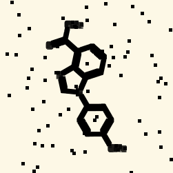 COC(=O)c1cccc2c1ncn2-c1ccc(OC)cc1